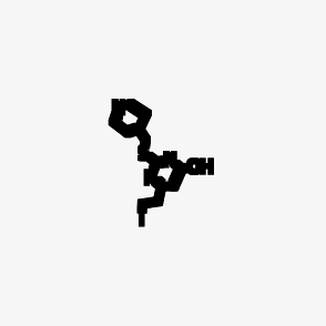 Oc1cc(CCI)nc(SCc2ccncc2)n1